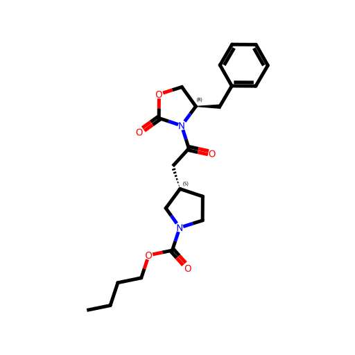 CCCCOC(=O)N1CC[C@@H](CC(=O)N2C(=O)OC[C@H]2Cc2ccccc2)C1